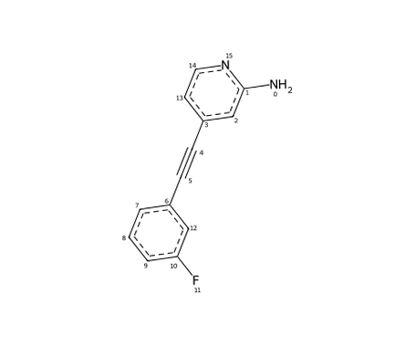 Nc1cc(C#Cc2cccc(F)c2)ccn1